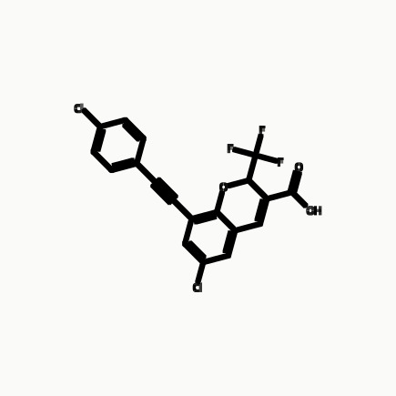 O=C(O)C1=Cc2cc(Cl)cc(C#Cc3ccc(Cl)cc3)c2OC1C(F)(F)F